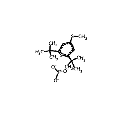 CSc1cc(C(C)(C)C)[s+]c(C(C)(C)C)c1.[O-][I+2]([O-])[O-]